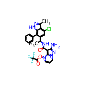 Cc1n[nH]c2c(-c3ccccc3)c(C(C)NC(=O)c3c(N)nn4c3N(OC(=O)C(F)(F)F)C=CC4)cc(Cl)c12